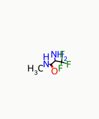 CNC(=O)C(N)C(F)(F)F